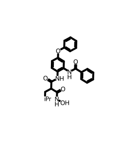 CC(C)CC(C(=O)NO)C(=O)Nc1ccc(Oc2ccccc2)cc1NC(=O)c1ccccc1